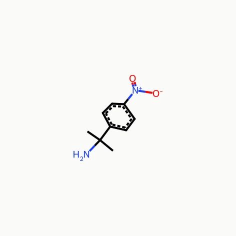 CC(C)(N)c1ccc([N+](=O)[O-])cc1